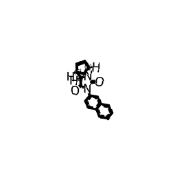 O=C1[C@@H]2[C@@H]3C=C[C@@H](C3)N2C(=O)N1c1ccc2ccccc2c1